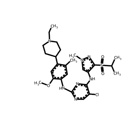 CCN1CCC(c2cc(OC)c(Nc3ncc(Cl)c(Nc4cn(C)nc4S(=O)(=O)C(C)C)n3)cc2C)CC1